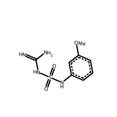 COc1cccc(NS(=O)(=O)NC(=N)N)c1